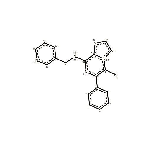 Brc1c(-c2ccccc2)nc(NCc2cccnc2)c2nccn12